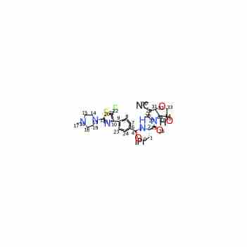 CC(C)C[C@H](NC(=O)c1ccc(-c2nc(N3CCN(C)CC3)sc2F)cc1)C(=O)N1C[C@@H](C#N)C2OCC(=O)[C@H]21